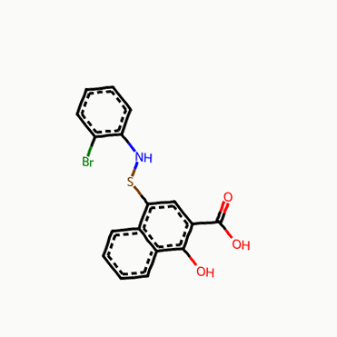 O=C(O)c1cc(SNc2ccccc2Br)c2ccccc2c1O